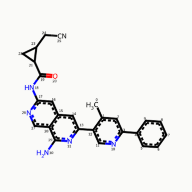 Cc1cc(-c2ccccc2)ncc1-c1cc2cc(NC(=O)C3CC3CC#N)ncc2c(N)n1